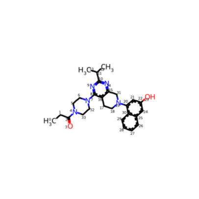 CCC(=O)N1CCN(c2nc(C(C)C)nc3c2CCN(c2cc(O)cc4ccccc24)C3)CC1